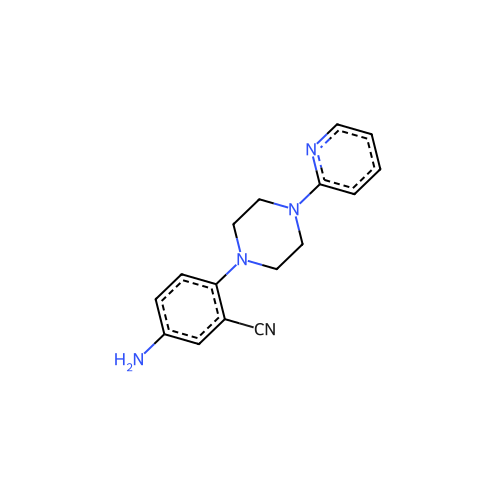 N#Cc1cc(N)ccc1N1CCN(c2ccccn2)CC1